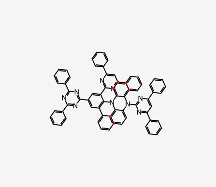 c1ccc(-c2cc(-c3ccccc3)nc(-c3cc(-c4nc(-c5ccccc5)nc(-c5ccccc5)n4)cc(-c4ccccc4)c3N3c4ccccc4N(c4nc(-c5ccccc5)cc(-c5ccccc5)n4)c4ccccc43)n2)cc1